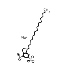 CCCCCCCCCCCCCCCCCCC1CCc2c1cc(S(=O)(=O)[O-])cc2[N+](=O)[O-].[Na+]